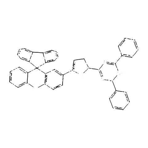 C1=C(c2ccc3c(c2)C2(c4ccccc4O3)c3ccccc3-c3ccccc32)OC(C2=NC(c3ccccc3)NC(c3ccccc3)=N2)C1